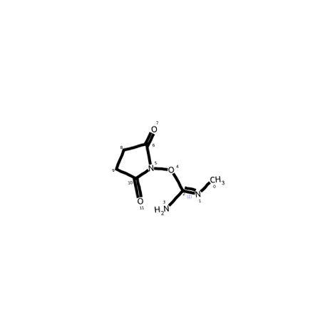 C/N=C(/N)ON1C(=O)CCC1=O